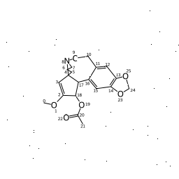 COC1=CC23CCCN2CCc2cc4c(cc2C3C1OC(C)=O)OCO4